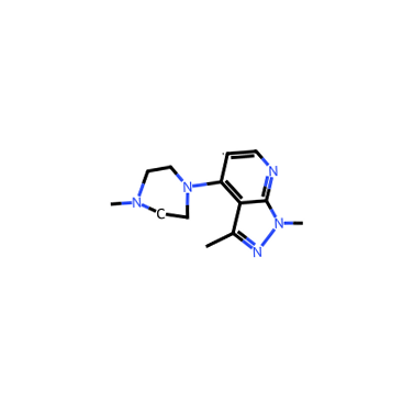 Cc1nn(C)c2nc[c]c(N3CCN(C)CC3)c12